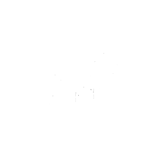 O=C(Nc1cc(C(F)(F)F)cc(C(F)(F)F)c1)Nc1ccc2ccccc2c1